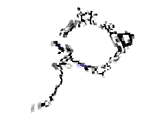 C/C=C(\C)[C@H]1OC(=O)[C@@H](C)NC(=O)[C@H](C(C)CC)NC(=O)CN(C)C(=O)[C@@H](Cc2ccccc2)N(C)C(=O)[C@H](C)NC(=O)[C@@H](CC(C)C)OC(=O)/C(C)=C/C[C@H](OC(=O)NCCCCCCCO)[C@@H]1C